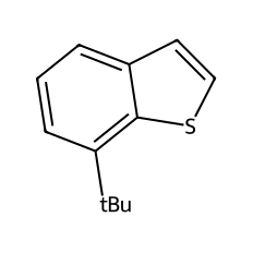 CC(C)(C)c1cccc2ccsc12